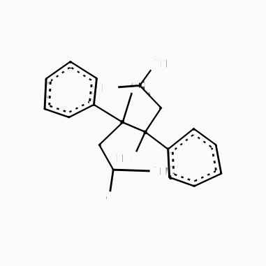 CC(C)CC(C)(c1ccccc1)C(C)(CC(C)C)c1ccccc1